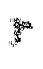 Cn1ccc(-c2nnc(C(=O)N3CCc4[nH]cnc4C3c3cc4cc(F)ccn4n3)o2)n1